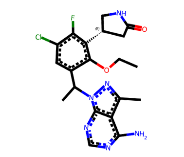 CCOc1c(C(C)n2nc(C)c3c(N)ncnc32)cc(Cl)c(F)c1[C@@H]1CNC(=O)C1